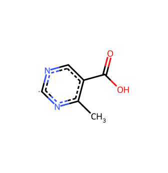 Cc1n[c]ncc1C(=O)O